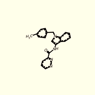 Cc1ccc(Cn2cc(NC(=O)c3cccnn3)c3ccccc32)cc1